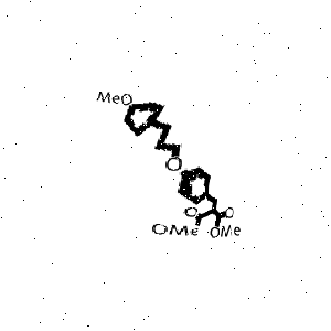 COC(=O)C(Cc1ccc(OCCCc2ccc(OC)cc2)cc1)C(=O)OC